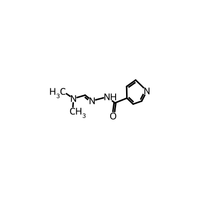 CN(C)C=NNC(=O)c1ccncc1